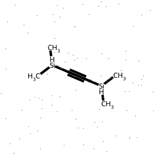 C[SiH](C)C#C[SiH](C)C